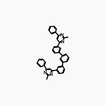 Cc1nc(-c2ccccc2)cc(-c2cccc(-c3cccc(-c4cccc(-c5cc(-c6ccccc6)nc(C)n5)c4)c3)c2)n1